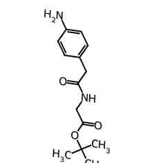 CC(C)(C)OC(=O)CNC(=O)Cc1ccc(N)cc1